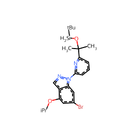 CC(C)Oc1cc(Br)cc2c1cnn2-c1cccc(C(C)(C)O[SiH2]C(C)(C)C)n1